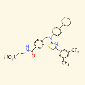 O=C(O)CCNC(=O)c1ccc(CN(c2ccc(C3=CCCCC3)cc2)c2nc(-c3cc(C(F)(F)F)cc(C(F)(F)F)c3)cs2)cc1